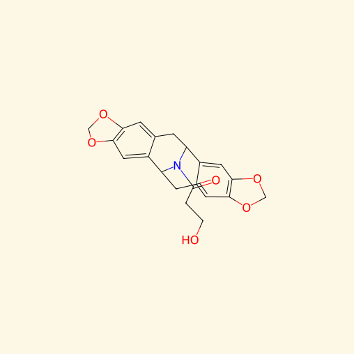 O=C(CCO)N1C2Cc3cc4c(cc3C1Cc1cc3c(cc12)OCO3)OCO4